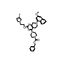 COc1cc(N2CCc3c(nc(OCCN4CC[C@@H](F)C4)nc3N3CCN(C(=O)OCc4ccccc4)CC3)C2)c2ccccc2c1